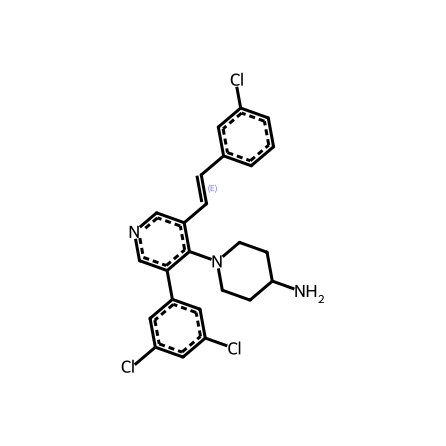 NC1CCN(c2c(/C=C/c3cccc(Cl)c3)cncc2-c2cc(Cl)cc(Cl)c2)CC1